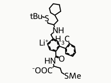 CSCC[C@H](NC(=O)c1ccc(CNC(CSC(C)(C)C)CC2CCCCC2)cc1-c1ccccc1C)C(=O)[O-].[Li+]